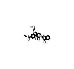 CCOC(=O)c1cc(Cl)c2c(c1)N(CCO)CC21CCN(c2nc3c(c(=O)[nH]2)CCCC3)CC1